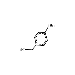 CC(C)[CH]c1ccc(C(C)(C)C)cc1